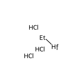 C[CH2][Hf].Cl.Cl.Cl